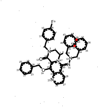 CC1CN(Cc2ccc(F)cc2)C(=O)c2c(OCc3ccccc3)c3ncccc3/c(=N/N(Cc3ccccc3)Cc3ccccc3)n21